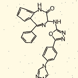 O=C1Nc2ccccc2C(c2ccccc2)=NC1Nc1nnc(-c2ccc(-n3cnnc3)cc2)o1